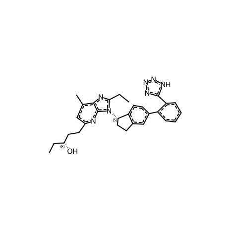 CCc1nc2c(C)cc(CC[C@H](O)CC)nc2n1[C@H]1CCc2cc(-c3ccccc3-c3nnn[nH]3)ccc21